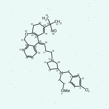 COCCN(Cc1ccc(Cl)cc1)C1CCN(CC/C=C2/C3=C(CCC(C(C)(C)N=O)=C3)OCc3ncccc32)C1